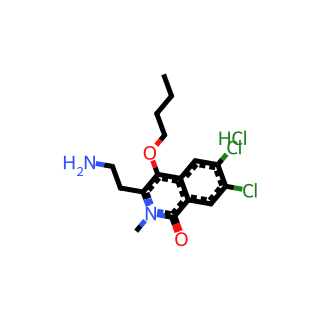 CCCCOc1c(CCN)n(C)c(=O)c2cc(Cl)c(Cl)cc12.Cl